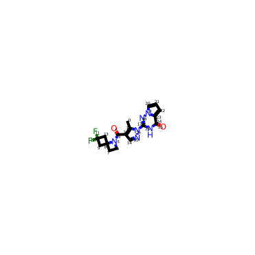 Cc1c(C(=O)N2CCC23CC(F)(F)C3)cnn1-c1nn2cccc2c(=O)[nH]1